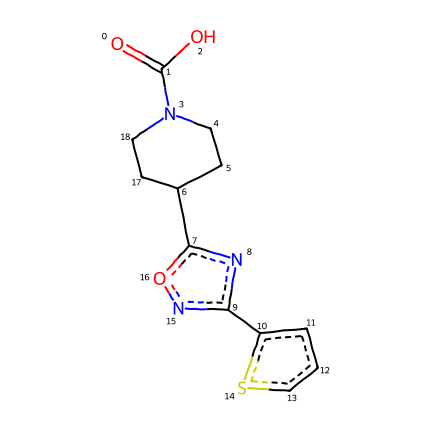 O=C(O)N1CCC(c2nc(-c3cccs3)no2)CC1